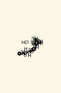 Cl.[2H]/C(=C(/[2H])C1([2H])C=C(OC([2H])([2H])[2H])CC([2H])(OC([2H])([2H])[2H])C1([2H])[2H])c1ccc(OC(=O)NCCNC(=O)C(N)Cc2ccccc2)cc1